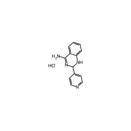 Cl.NC1=NC(c2ccncc2)Nc2ccccc21